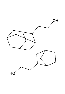 OCCC1C2CC3CC(C2)CC1C3.OCCC1CC2CCC1C2